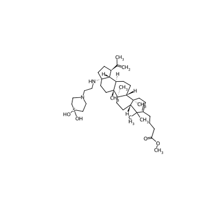 C=C(C)[C@@H]1CC[C@]2(NCCN3CCS(O)(O)CC3)CC[C@]3(C)[C@H](CC[C@@H]4[C@@]5(C)CC=C(CCCC(=O)OC)C(C)(C)[C@@H]5CC[C@]43C)[C@@H]12